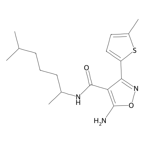 Cc1ccc(-c2noc(N)c2C(=O)NC(C)CCCC(C)C)s1